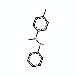 Cc1ccc(N(C)Pc2ccccc2)cc1